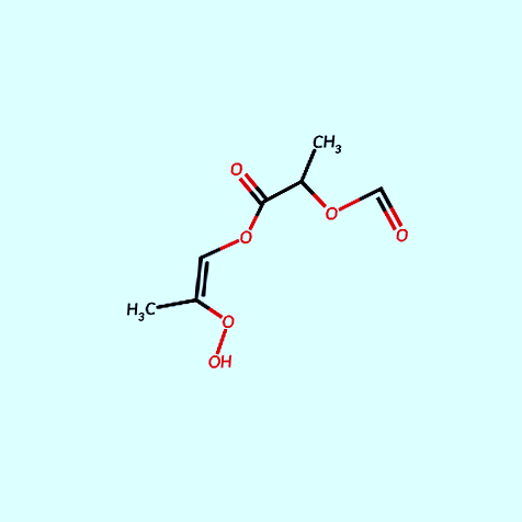 C/C(=C/OC(=O)C(C)OC=O)OO